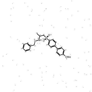 COc1ccc(-c2ccc(S(=O)(=O)CC(C)NOCc3ccccc3)cc2)cc1